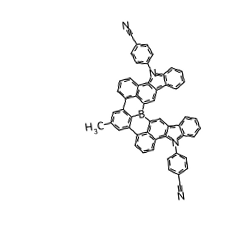 Cc1cc2c3c(c1)-c1cccc4c1c(cc1c5ccccc5n(-c5ccc(C#N)cc5)c41)B3c1cc3c4ccccc4n(-c4ccc(C#N)cc4)c3c3cccc-2c13